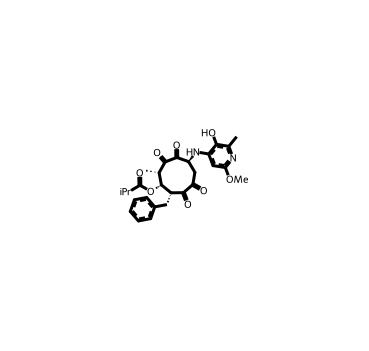 COc1cc(N[C@H]2CC(=O)C(=O)[C@H](Cc3ccccc3)[C@H](OC(=O)C(C)C)[C@H](C)C(=O)C2=O)c(O)c(C)n1